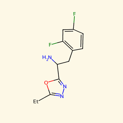 CCc1nnc(C(N)Cc2ccc(F)cc2F)o1